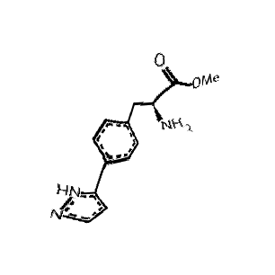 COC(=O)[C@@H](N)Cc1ccc(-c2ccn[nH]2)cc1